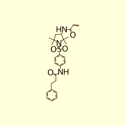 C=CC(=O)NC1CC(C)(C)N(S(=O)(=O)c2ccc(NC(=O)CCc3ccccc3)cc2)C1(C)C